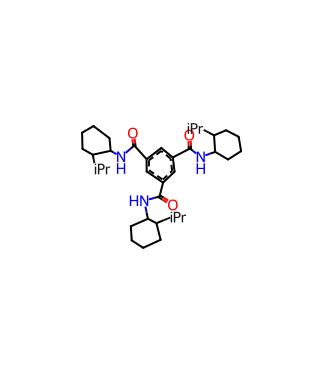 CC(C)C1CCCCC1NC(=O)c1cc(C(=O)NC2CCCCC2C(C)C)cc(C(=O)NC2CCCCC2C(C)C)c1